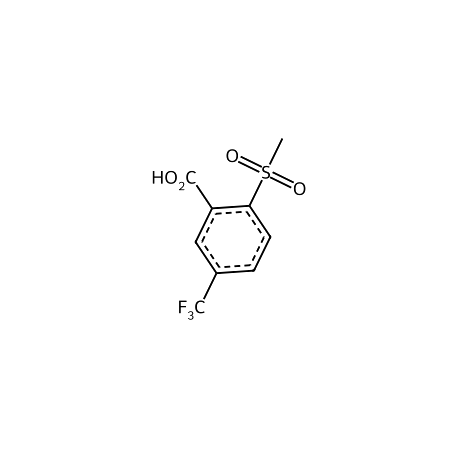 CS(=O)(=O)c1ccc(C(F)(F)F)cc1C(=O)O